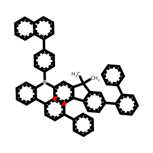 CC1(C)c2cc(-c3ccccc3-c3ccccc3)ccc2-c2ccc(N(c3ccc(-c4cccc5ccccc45)cc3)c3ccccc3-c3ccc(-c4ccccc4)cc3)cc21